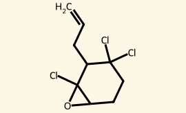 C=CCC1C(Cl)(Cl)CCC2OC21Cl